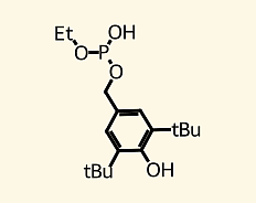 CCOP(O)OCc1cc(C(C)(C)C)c(O)c(C(C)(C)C)c1